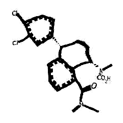 CN(C)C(=O)c1cccc2c1[C@@H](N(C)C(=O)O)CC[C@H]2c1ccc(Cl)c(Cl)c1